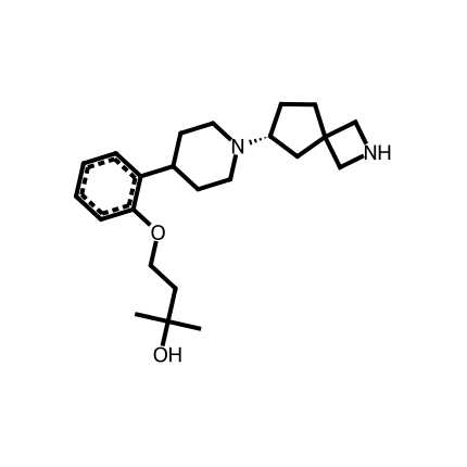 CC(C)(O)CCOc1ccccc1C1CCN([C@@H]2CCC3(CNC3)C2)CC1